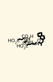 CC(Cc1ccc2ccccc2c1)C(=O)NCCCCC(NC(=O)NC(CCC(=O)O)C(=O)O)C(=O)O